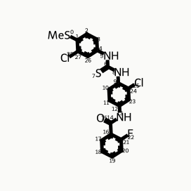 CSc1ccc(NC(=S)Nc2ccc(NC(=O)c3ccccc3F)cc2Cl)cc1Cl